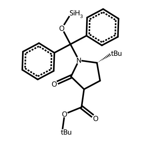 CC(C)(C)OC(=O)C1C[C@@H](C(C)(C)C)N(C(O[SiH3])(c2ccccc2)c2ccccc2)C1=O